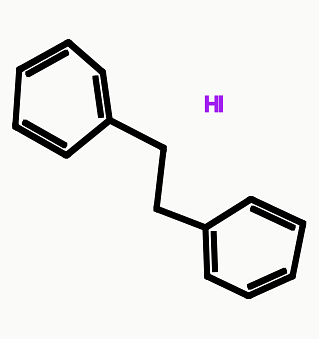 I.c1ccc(CCc2ccccc2)cc1